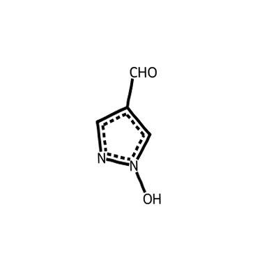 O=Cc1cnn(O)c1